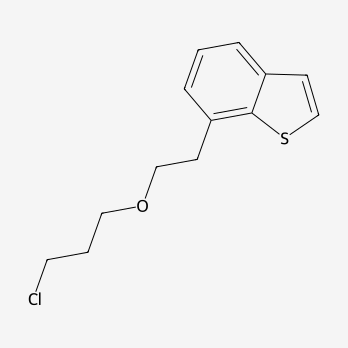 ClCCCOCCc1cccc2ccsc12